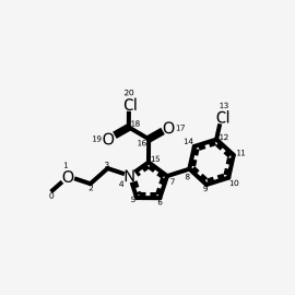 COCCn1ccc(-c2cccc(Cl)c2)c1C(=O)C(=O)Cl